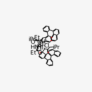 CCC(=O)N[B](NC(=O)CC)[Hf]([Cl])([Cl])([CH]1C(CC(C)C)=Cc2c(-c3ccccc3-c3cccc4ccccc34)cccc21)[CH]1C(CC(C)C)=Cc2c(-c3ccccc3-c3cccc4ccccc34)cccc21